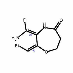 CC/C=C1/OCCC(=O)N/C1=C(/N)F